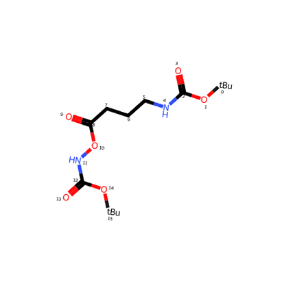 CC(C)(C)OC(=O)NCCCC(=O)ONC(=O)OC(C)(C)C